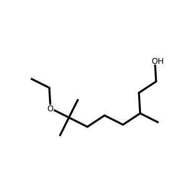 CCOC(C)(C)CCCC(C)CCO